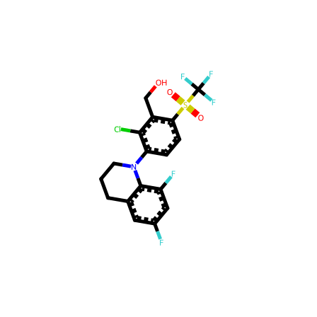 O=S(=O)(c1ccc(N2CCCc3cc(F)cc(F)c32)c(Cl)c1CO)C(F)(F)F